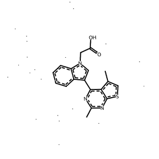 Cc1nc(-c2cn(CC(=O)O)c3ccccc23)c2c(C)csc2n1